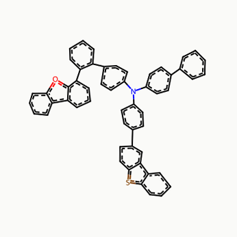 c1ccc(-c2ccc(N(c3ccc(-c4ccc5sc6ccccc6c5c4)cc3)c3ccc(-c4ccccc4-c4cccc5c4oc4ccccc45)cc3)cc2)cc1